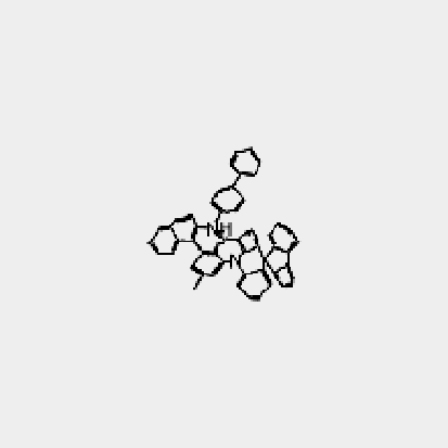 Cc1cc(-c2c(Nc3ccc(-c4ccccc4)cc3)ccc3ccccc23)c2c(c1)N1c3ccccc3C3(c4ccccc4-c4ccccc43)c3cccc(c31)S2